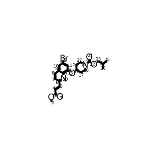 COC(=O)/C=C/c1ccc2cc(Br)cc(OC3CCN(C(=O)OCC(C)C)CC3)c2n1